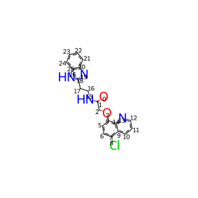 O=C(COc1ccc(Cl)c2cccnc12)NCCc1nc2ccccc2[nH]1